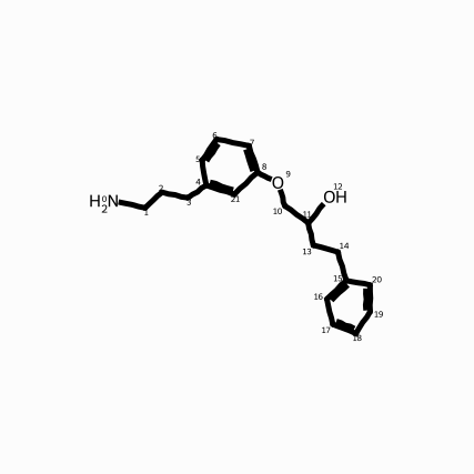 NCCCc1cccc(OCC(O)CCc2ccccc2)c1